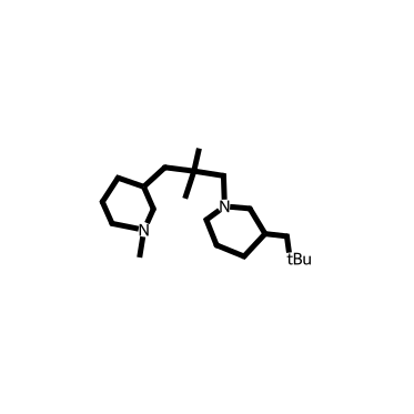 CN1CCCC(CC(C)(C)CN2CCCC(CC(C)(C)C)C2)C1